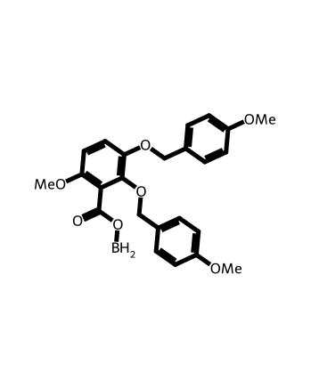 BOC(=O)c1c(OC)ccc(OCc2ccc(OC)cc2)c1OCc1ccc(OC)cc1